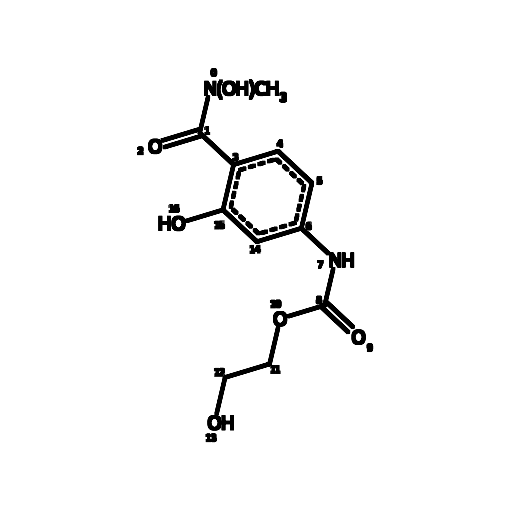 CN(O)C(=O)c1ccc(NC(=O)OCCO)cc1O